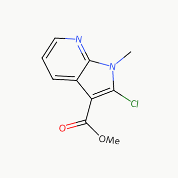 COC(=O)c1c(Cl)n(C)c2ncccc12